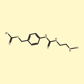 CC(C)NCCNC(=O)Nc1ccc(COC(=O)C(C)C)cc1